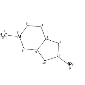 CC(C)C1CC2CCN(C)CC2C1